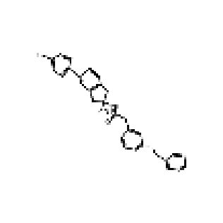 CCOC(=O)C1(NC(=O)Cc2cccc(OCc3ccccc3)c2)Cc2ccc(-c3ccc(Cl)cc3)cc2C1